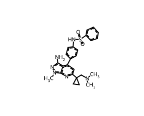 CN(C)CC1(c2cc(-c3ccc(NS(=O)(=O)c4ccccc4)cc3)c3c(N)nn(C)c3n2)CC1